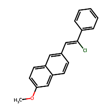 COc1ccc2cc(/C=C(\Cl)c3ccccc3)ccc2c1